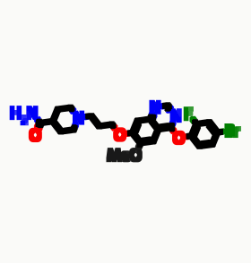 COc1cc2c(Oc3ccc(Br)cc3F)ncnc2cc1OCCCN1CCC(C(N)=O)CC1